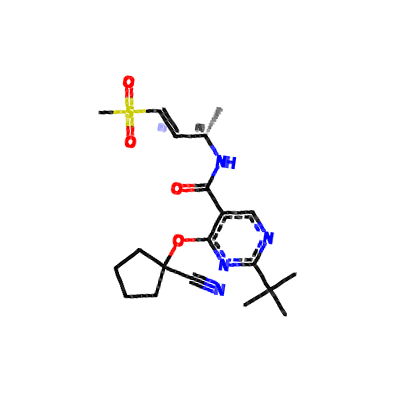 C[C@@H](/C=C/S(C)(=O)=O)NC(=O)c1cnc(C(C)(C)C)nc1OC1(C#N)CCCC1